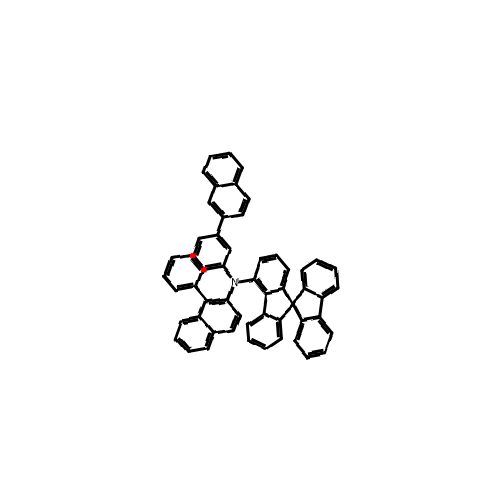 c1ccc(-c2c(N(c3cccc(-c4ccc5ccccc5c4)c3)c3cccc4c3-c3ccccc3C43c4ccccc4-c4ccccc43)ccc3ccccc23)cc1